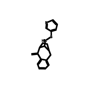 C=C1c2ccccc2CC2CCC1C2NSc1cccnc1